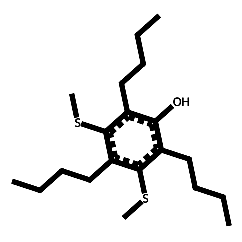 CCCCc1c(O)c(CCCC)c(SC)c(CCCC)c1SC